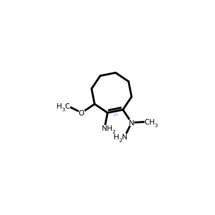 COC1CCCCC/C(N(C)N)=C\1N